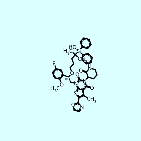 COc1ccc(F)cc1[C@H](Cn1c(=O)n(C2CCCNC2=O)c(=O)c2c(C)c(-c3ncco3)sc21)OCCCC(C)(C)[Si](O)(c1ccccc1)c1ccccc1